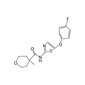 CC1(C(=O)Nc2ncc(Oc3ccc(F)cc3)s2)CCOCC1